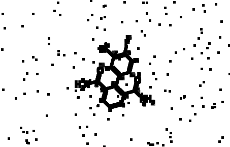 NC(=O)c1cccc(C(N)=O)c1-c1ccc(F)c(Br)c1